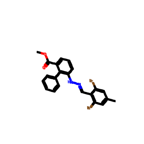 COC(=O)c1cccc(NN=Cc2c(Br)cc(C)cc2Br)c1-c1ccccc1